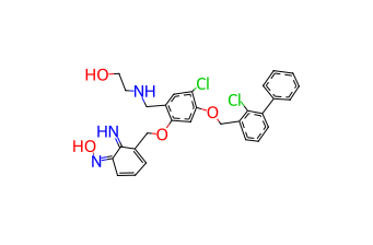 N=C1C(COc2cc(OCc3cccc(-c4ccccc4)c3Cl)c(Cl)cc2CNCCO)=CC=C/C1=N/O